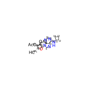 C#C[C@H]1O[C@@H](n2cnc3c(NC4CCC4)ncnc32)[C@H](OC(C)=O)[C@H]1OC(C)=O